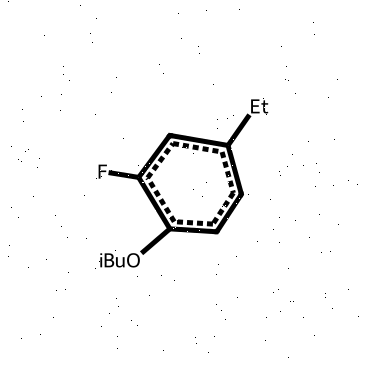 CCc1ccc(OCC(C)C)c(F)c1